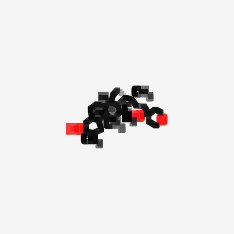 C[C@H](CCC1(O)CCOCC1)[C@H]1CC[C@H]2[C@@H]3CC=C4C[C@@](C)(O)CC[C@]4(C)[C@H]3CC[C@]12C